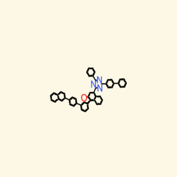 c1ccc(-c2ccc(-c3nc(-c4ccccc4)nc(-c4cc5oc6c(-c7ccc(-c8ccc9ccccc9c8)cc7)cccc6c5c5ccccc45)n3)cc2)cc1